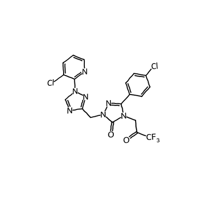 O=C(Cn1c(-c2ccc(Cl)cc2)nn(Cc2ncn(-c3ncccc3Cl)n2)c1=O)C(F)(F)F